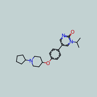 CC(C)n1cc(-c2ccc(OC3CCN(C4CCCC4)CC3)cc2)cnc1=O